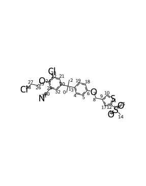 CC(C)(c1ccc(OCc2csc(S(C)(=O)=O)c2)cc1)c1cc(Cl)c(OCCCl)c(C#N)c1